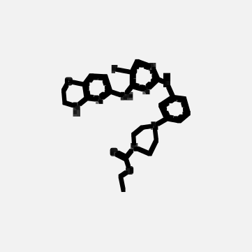 CCOC(=O)N1CCN(c2cccc(Nc3ncc(F)c(Nc4ccc5c(n4)NCCO5)n3)c2)CC1